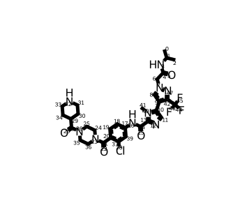 CC(C)NC(=O)Cn1cc(-c2cnc(C(=O)Nc3ccc(C(=O)N4CCN(C(=O)C5CCNCC5)CC4)c(Cl)c3)n2C)c(C(F)(F)F)n1